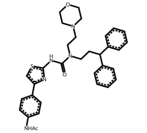 CC(=O)Nc1ccc(-c2csc(NC(=O)N(CCC(c3ccccc3)c3ccccc3)CCN3CCOCC3)n2)cc1